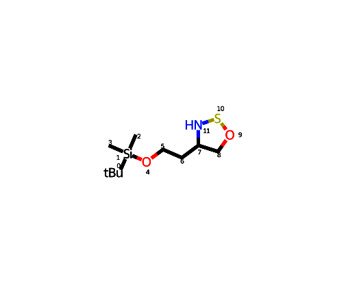 CC(C)(C)[Si](C)(C)OCCC1COSN1